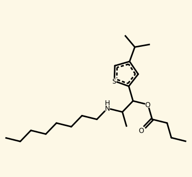 CCCCCCCCNC(C)C(OC(=O)CCC)c1cc(C(C)C)cs1